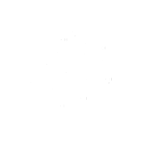 OCc1ccccc1-c1c(CO)c(CO)c(CO)c(CO)c1CO